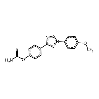 NC(=S)Oc1ccc(-c2ncn(-c3ccc(OC(F)(F)F)cc3)n2)cc1